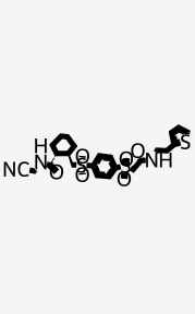 N#CCNC(=O)[C@@H]1CCCC[C@H]1CS(=O)(=O)c1ccc(S(=O)(=O)CC(=O)NCCc2cccs2)cc1